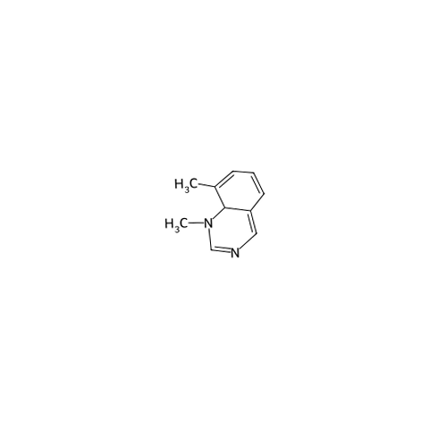 CC1=CC=CC2=CN=CN(C)C12